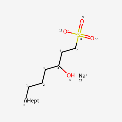 CCCCCCCCCCC(O)CCS(=O)(=O)[O-].[Na+]